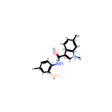 Bc1cc(C)ccc1NC(=O)c1cn(C)c2cc(C)ccc12